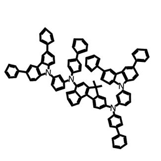 CC1(C)c2cc(N(c3ccc(-c4ccccc4)cc3)c3cccc(-n4c5ccc(-c6ccccc6)cc5c5cc(-c6ccccc6)ccc54)c3)ccc2-c2c1cc(N(c1ccc(-c3ccccc3)cc1)c1cccc(-n3c4ccc(-c5ccccc5)cc4c4cc(-c5ccccc5)ccc43)c1)c1ccccc21